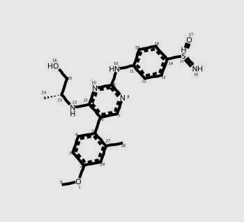 COc1ccc(-c2cnc(Nc3ccc([SH](=N)=O)cc3)nc2N[C@H](C)CO)c(C)c1